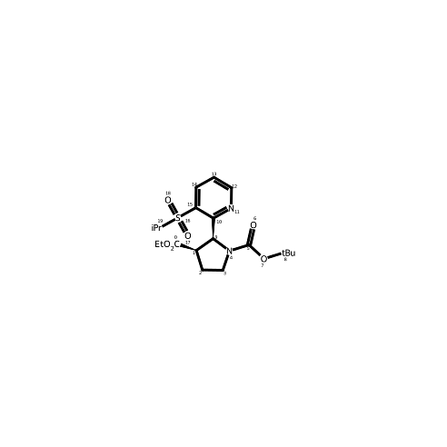 CCOC(=O)[C@@H]1CCN(C(=O)OC(C)(C)C)[C@@H]1c1ncccc1S(=O)(=O)C(C)C